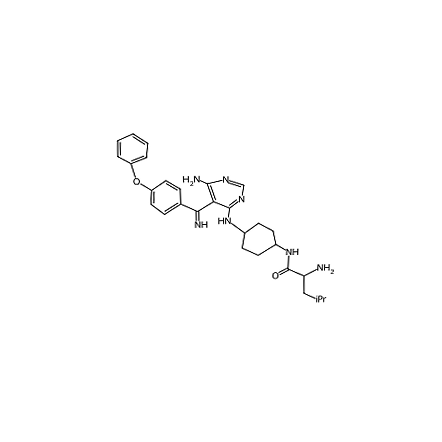 CC(C)CC(N)C(=O)NC1CCC(Nc2ncnc(N)c2C(=N)c2ccc(Oc3ccccc3)cc2)CC1